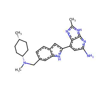 Cc1nc2c(-c3cc4ccc(CN(C)[C@H]5CC[C@@H](C)CC5)cc4[nH]3)cc(N)nc2[nH]1